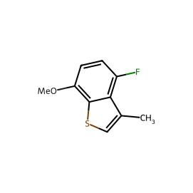 COc1ccc(F)c2c(C)csc12